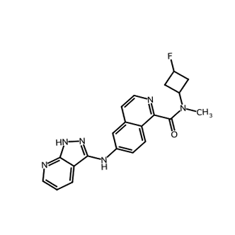 CN(C(=O)c1nccc2cc(Nc3n[nH]c4ncccc34)ccc12)C1CC(F)C1